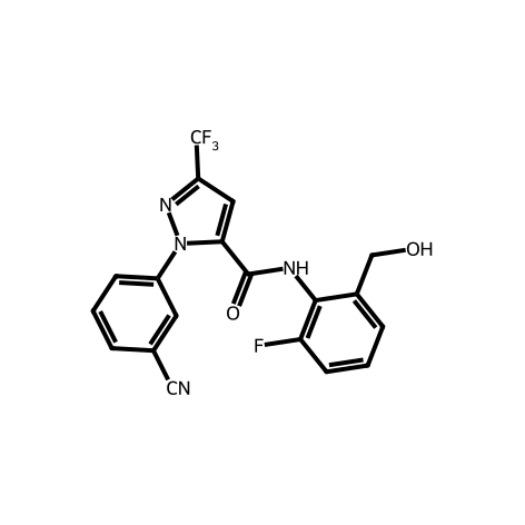 N#Cc1cccc(-n2nc(C(F)(F)F)cc2C(=O)Nc2c(F)cccc2CO)c1